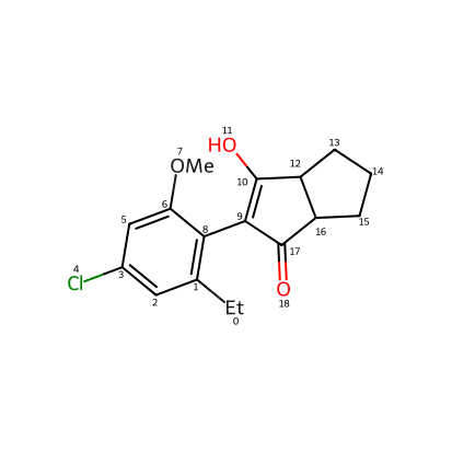 CCc1cc(Cl)cc(OC)c1C1=C(O)C2CCCC2C1=O